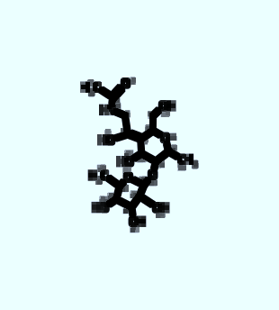 CC(=O)NC/C(O)=C1\C(CO)OC(C)C(OC2OC(C)C(O)C(O)C2O)C1O